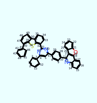 c1ccc(-c2cc(-c3ccc(-c4nc5ccccc5c5oc6ccccc6c45)cc3)nc(-c3cccc4c3sc3c(-c5ccccc5)cccc34)n2)cc1